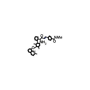 CNC(=O)c1ccc(/C=C/C(=O)C(N)c2ccccc2-c2ccc(C)c(COc3cccc4ccc(C)nc34)c2C)cc1